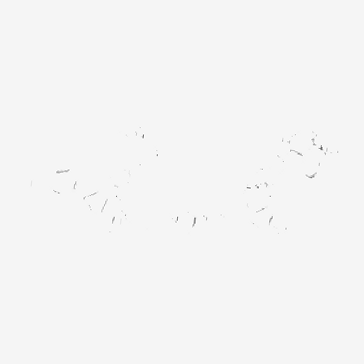 CCc1cccc(-c2cnc(C(=O)NCCOC3CCN(CC(=O)N4CCN(CC[C@H](NC(=O)C5(N)CCN(c6ncnc7[nH]ccc67)CC5)c5ccc(Cl)cc5)CC4)CC3)c(NC(=O)CNCC3CCN(C)C(=O)C3)c2)c1